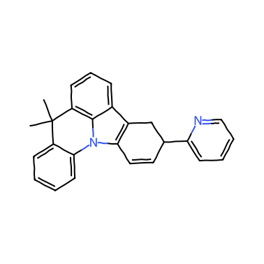 CC1(C)c2ccccc2-n2c3c(c4cccc1c42)CC(c1ccccn1)C=C3